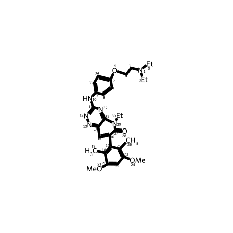 CCN(CC)CCOc1ccc(Nc2nnc3cc(-c4c(C)c(OC)cc(OC)c4C)c(=O)n(CC)c3n2)cc1